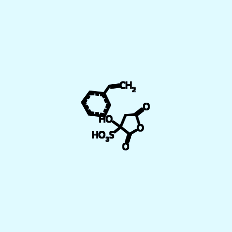 C=Cc1ccccc1.O=C1CC(O)(S(=O)(=O)O)C(=O)O1